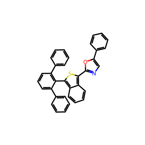 c1ccc(-c2cnc(-c3sc(-c4c(-c5ccccc5)cccc4-c4ccccc4)c4ccccc34)o2)cc1